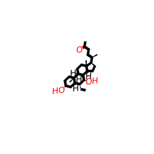 CC[C@H]1[C@H](O)[C@@H]2[C@H](CC[C@]3(C)[C@@H]([C@H](C)CCC(C)=O)CC[C@@H]23)[C@@]2(C)CC[C@@H](O)C[C@@H]12